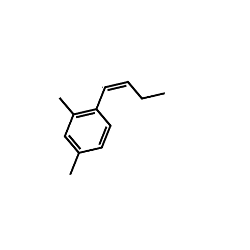 CC/C=[C]\c1ccc(C)cc1C